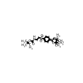 CC(C)(C)OC(=O)NCCS(=O)(=O)c1ccc(B2OC(C)(C)C(C)(C)O2)cc1